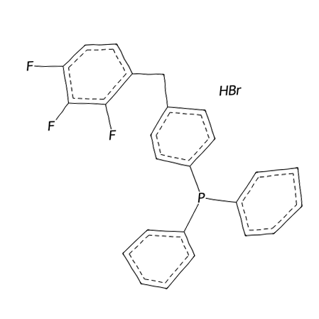 Br.Fc1ccc(Cc2ccc(P(c3ccccc3)c3ccccc3)cc2)c(F)c1F